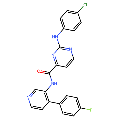 O=C(Nc1cnccc1-c1ccc(F)cc1)c1ccnc(Nc2ccc(Cl)cc2)n1